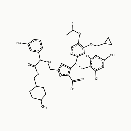 CN1CCC(COC(=O)C(NCc2cc([C@@H](Cc3c(Cl)c[n+](O)cc3Cl)c3ccc(OC(F)F)c(OCC4CC4)c3)c(C(=O)[O-])s2)c2cccc(O)c2)CC1